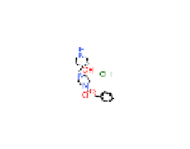 Cl.O=C(OCc1ccccc1)N1CCN(CC2(O)CCNCC2)CC1